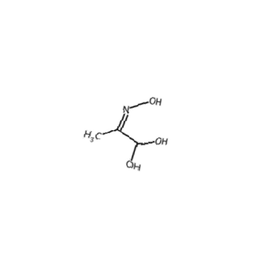 CC(=NO)C(O)O